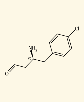 N[C@H](CC=O)Cc1ccc(Cl)cc1